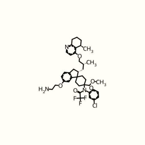 COC(=O)C1(N(C(=O)C(F)(F)F)c2cccc(Cl)c2)CCC2(CC1)c1cc(OCCN)ccc1C[C@@H]2C[C@@H](C)COc1ccnc2c1[C@H](C)CCC2